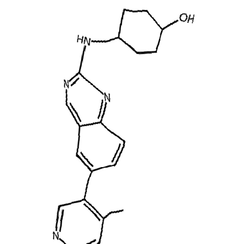 Cc1ccncc1-c1ccc2nc(NC3CCC(O)CC3)ncc2c1